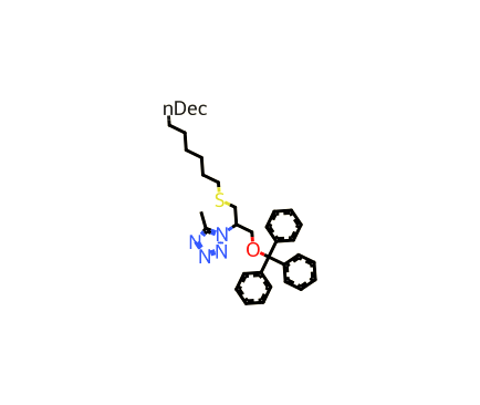 CCCCCCCCCCCCCCCCSCC(COC(c1ccccc1)(c1ccccc1)c1ccccc1)n1nnnc1C